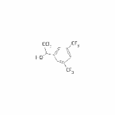 OC(c1cc(C(F)(F)F)cc(C(F)(F)F)c1)C(Cl)(Cl)Cl